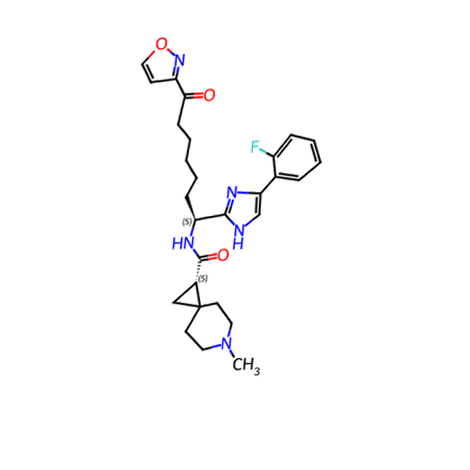 CN1CCC2(CC1)C[C@@H]2C(=O)N[C@@H](CCCCCC(=O)c1ccon1)c1nc(-c2ccccc2F)c[nH]1